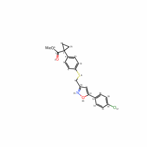 COC(=O)C1(c2ccc(SCc3cc(-c4ccc(Cl)cc4)on3)cc2)CC1